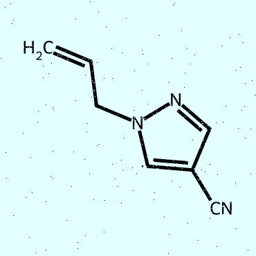 C=CCn1[c]c(C#N)cn1